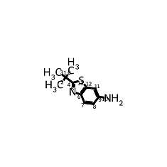 CC(C)(C)c1nc2ccc(N)cc2s1